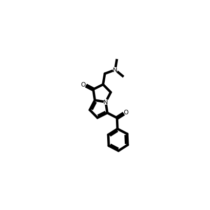 CN(C)CC1Cn2c(C(=O)c3ccccc3)ccc2C1=O